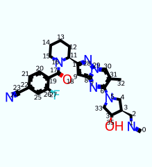 C=NC[C@@H]1CN(c2nc3cc([C@@H]4CCCCN4C(=O)c4ccc(C#N)cc4F)nn3cc2C)C[C@@H]1O